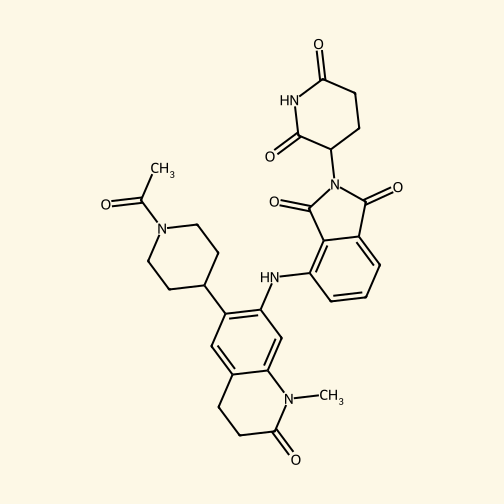 CC(=O)N1CCC(c2cc3c(cc2Nc2cccc4c2C(=O)N(C2CCC(=O)NC2=O)C4=O)N(C)C(=O)CC3)CC1